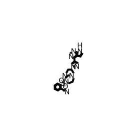 N#CCC(CN1CCCN(S(=O)(=O)c2ccccc2C#N)CC1)n1cc(-c2ncnc3[nH]ccc23)cn1